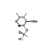 CSc1c(OP(C)(=O)O)nnc(C)c1C